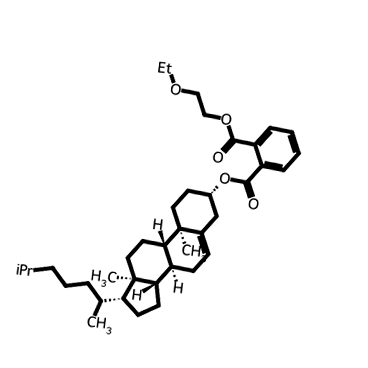 CCOCCOC(=O)c1ccccc1C(=O)O[C@H]1CC[C@@]2(C)C(=CC[C@H]3[C@@H]4CC[C@H](C(C)CCCC(C)C)[C@@]4(C)CC[C@@H]32)C1